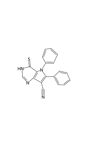 N#Cc1c(-c2ccccc2)n(-c2ccccc2)c2c(=S)[nH]cnc12